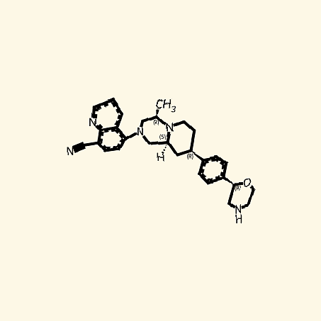 C[C@@H]1CN(c2ccc(C#N)c3ncccc23)C[C@@H]2C[C@H](c3ccc([C@@H]4CNCCO4)cc3)CCN21